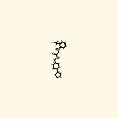 O=C(CNc1ccccc1C(F)(F)F)NCC1CCN(C2CCCC2)CC1